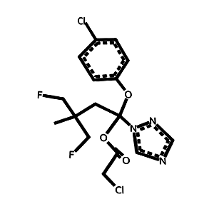 CC(CF)(CF)CC(OC(=O)CCl)(Oc1ccc(Cl)cc1)n1cncn1